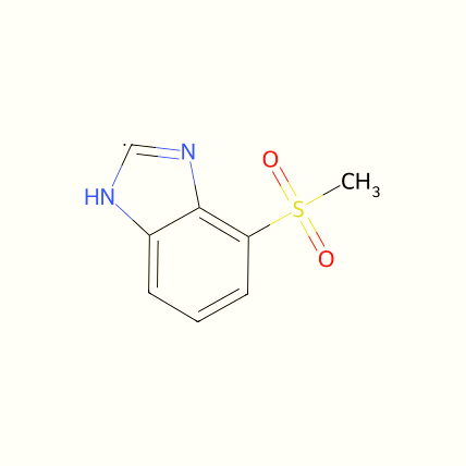 CS(=O)(=O)c1cccc2[nH][c]nc12